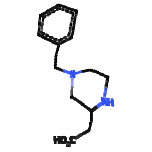 O=C(O)CC1CN(Cc2ccccc2)CCN1